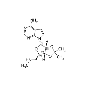 CNC[C@H]1O[C@H](n2ccc3c(N)ncnc32)[C@@H]2OC(C)(C)O[C@@H]21